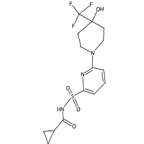 O=C(NS(=O)(=O)c1cccc(N2CCC(O)(C(F)(F)F)CC2)n1)C1CC1